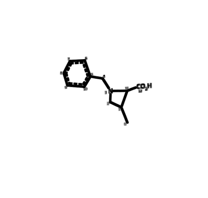 CC1CN(Cc2ccccc2)C1C(=O)O